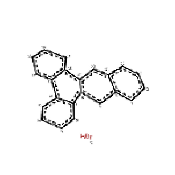 Br.c1ccc2cc3c4ccccc4c4ccccc4c3cc2c1